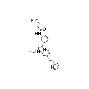 Cl.Cn1ccnc1/C=C/c1ccn2c(-c3cccc(NC(=O)NCC(F)(F)F)c3)cnc2c1